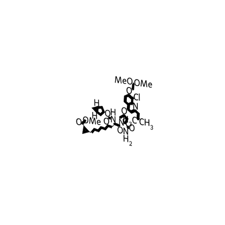 COC(=O)[C@H]1C[C@H]1CCCCCCC[C@H](NC(=O)O[C@@H]1C[C@@H]2C[C@@H]2C1)C(=O)N1CC(Oc2cc(C=C(C)C)nc3c(Cl)c(OCC(OC)OC)ccc23)C[C@H]1C(N)=O